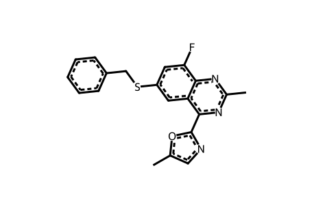 Cc1nc(-c2ncc(C)o2)c2cc(SCc3ccccc3)cc(F)c2n1